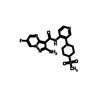 CS(=O)(=O)C1CCN(c2cnccc2NC(=O)c2c(N)nn3cc(F)cnc23)CC1